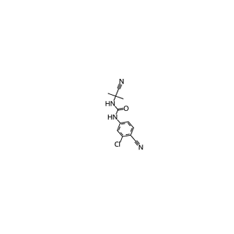 CC(C)(C#N)NC(=O)Nc1ccc(C#N)c(Cl)c1